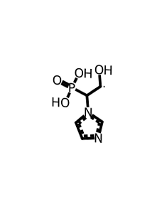 O=P(O)(O)C([CH]O)n1ccnc1